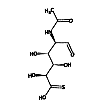 CC(=O)N[C@@H](C=O)[C@@H](O)[C@H](O)[C@H](O)C(O)=S